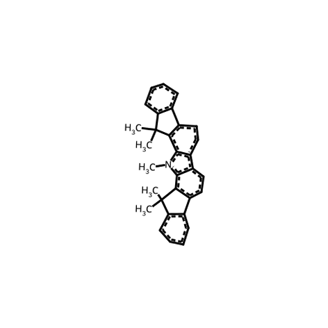 Cn1c2c3c(ccc2c2ccc4c(c21)C(C)(C)c1ccccc1-4)-c1ccccc1C3(C)C